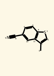 Cc1csc2ccc(C#N)cc12